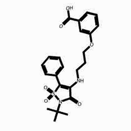 CC(C)(C)N1C(=O)C(NCCCOc2cccc(C(=O)O)c2)=C(c2ccccc2)S1(=O)=O